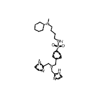 CN(CCCCNS(=O)(=O)c1ccc(CN(Cc2ncc[nH]2)Cc2nccn2C)cc1)C1CCCCC1